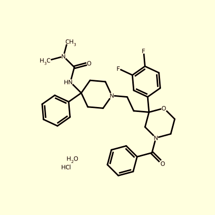 CN(C)C(=O)NC1(c2ccccc2)CCN(CCC2(c3ccc(F)c(F)c3)CN(C(=O)c3ccccc3)CCO2)CC1.Cl.O